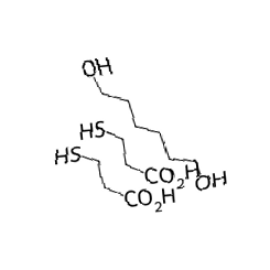 O=C(O)CCS.O=C(O)CCS.OCCCCCCO